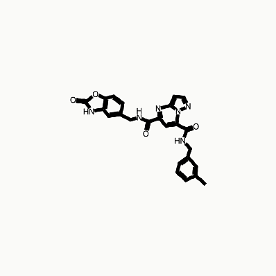 Cc1cccc(CNC(=O)c2cc(C(=O)NCc3ccc4oc(=O)[nH]c4c3)nc3ccnn23)c1